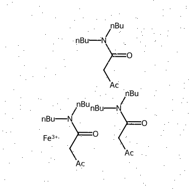 CCCCN(CCCC)C(=O)CC(C)=O.CCCCN(CCCC)C(=O)CC(C)=O.CCCCN(CCCC)C(=O)CC(C)=O.[Fe+3]